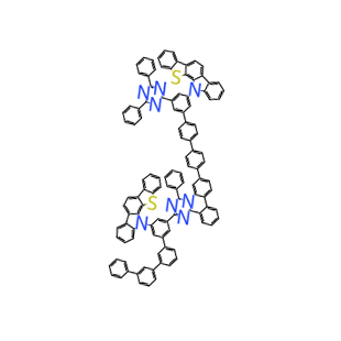 c1ccc(-c2cccc(-c3cccc(-c4cc(-c5nc(-c6ccccc6)nc(-c6ccccc6-c6ccc(-c7ccc(-c8ccc(-c9cc(-c%10nc(-c%11ccccc%11)nc(-c%11ccccc%11)n%10)cc(-n%10c%11ccccc%11c%11ccc%12c%13ccccc%13sc%12c%11%10)c9)cc8)cc7)cc6)n5)cc(-n5c6ccccc6c6ccc7c8ccccc8sc7c65)c4)c3)c2)cc1